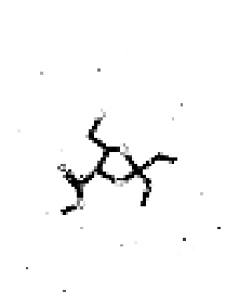 CCC1(CC)OC(CO)C(C(=O)OC)O1